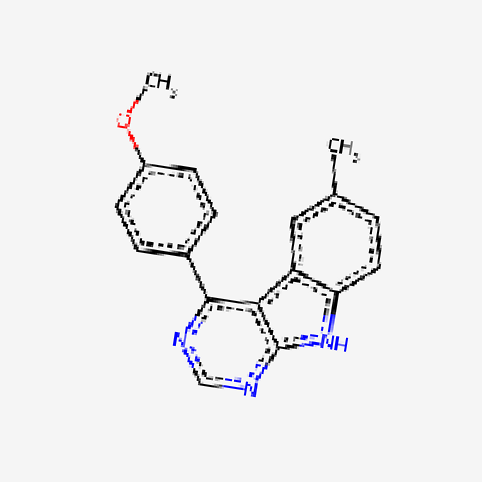 COc1ccc(-c2ncnc3[nH]c4ccc(C)cc4c23)cc1